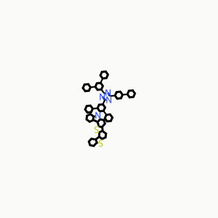 c1ccc(-c2ccc(-c3nc(-c4cc(-c5ccccc5)cc(-c5ccccc5)c4)nc(-c4cc(-c5ccccc5)c(-n5c6ccccc6c6c7sc8c(ccc9sc%10ccccc%10c98)c7ccc65)c(-c5ccccc5)c4)n3)cc2)cc1